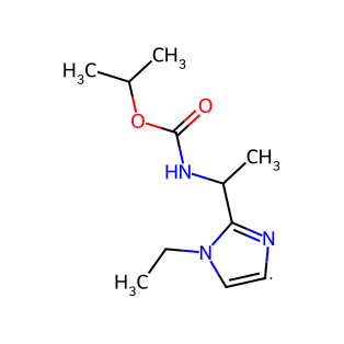 CCn1c[c]nc1C(C)NC(=O)OC(C)C